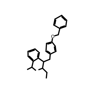 CCC(C)[C](Cc1ccc(OCc2ccccc2)cc1)c1ccccc1C(C)C